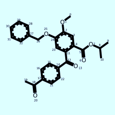 COc1cc(C(=O)OC(C)C)c(C(=O)c2ccc(C(C)=O)cc2)cc1OCc1ccccc1